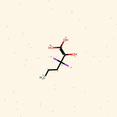 CCCC(I)(I)C(O)=C(O)O